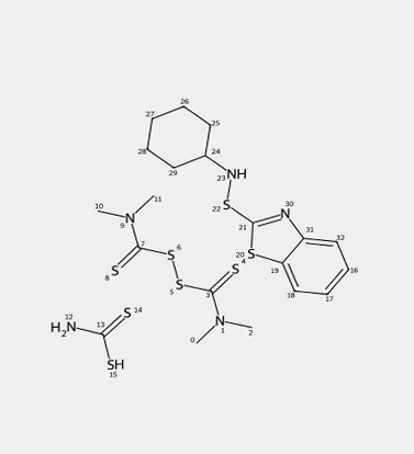 CN(C)C(=S)SSC(=S)N(C)C.NC(=S)S.c1ccc2sc(SNC3CCCCC3)nc2c1